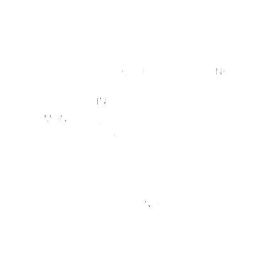 CNC(Cc1ccc([N+](=O)[O-])cc1)C(=O)NC(C=O)Cc1ccc([N+](=O)[O-])cc1